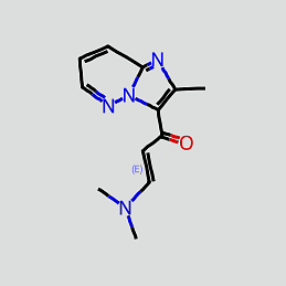 Cc1nc2cccnn2c1C(=O)/C=C/N(C)C